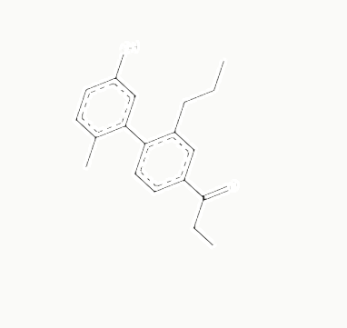 CCCc1cc(C(=O)CC)ccc1-c1cc(O)ccc1C